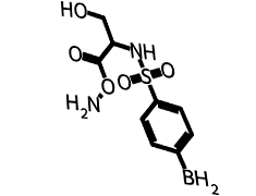 Bc1ccc(S(=O)(=O)NC(CO)C(=O)ON)cc1